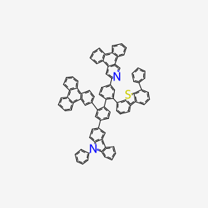 c1ccc(-c2cccc3c2sc2c(-c4cc(-c5cc6c7ccccc7c7ccccc7c6cn5)ccc4-c4ccc(-c5ccc6c(c5)c5ccccc5n6-c5ccccc5)cc4-c4ccc5c6ccccc6c6ccccc6c5c4)cccc23)cc1